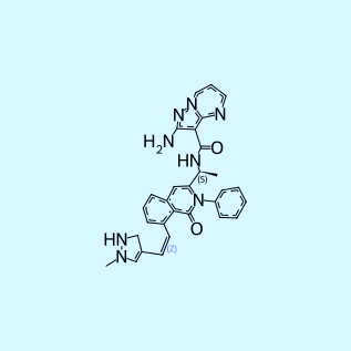 C[C@H](NC(=O)c1c(N)nn2cccnc12)c1cc2cccc(/C=C\C3=CN(C)NC3)c2c(=O)n1-c1ccccc1